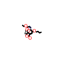 CCCCO[C@@H]1C=C2C(=O)O[C@@H](C)[C@H]2O[C@@H]1/C=C\C(=O)OCC